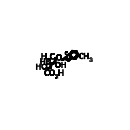 C=C(OCc1cc2cc(C)ccc2s1)[C@@H](O)C(O)C[C@H](O)C(=O)O